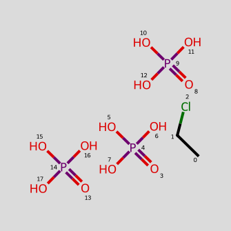 CCCl.O=P(O)(O)O.O=P(O)(O)O.O=P(O)(O)O